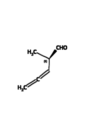 C=C=C[C@@H](C)C=O